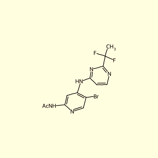 CC(=O)Nc1cc(Nc2ccnc(C(C)(F)F)n2)c(Br)cn1